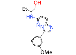 CCC(CO)Nc1ccc2ncc(-c3cccc(OC)c3)n2n1